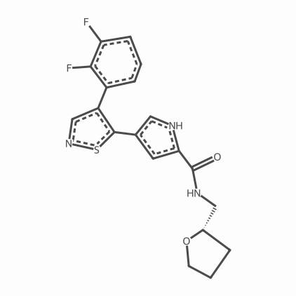 O=C(NC[C@@H]1CCCO1)c1cc(-c2sncc2-c2cccc(F)c2F)c[nH]1